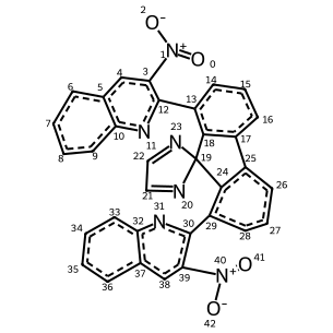 O=[N+]([O-])c1cc2ccccc2nc1-c1cccc2c1C1(N=CC=N1)c1c-2cccc1-c1nc2ccccc2cc1[N+](=O)[O-]